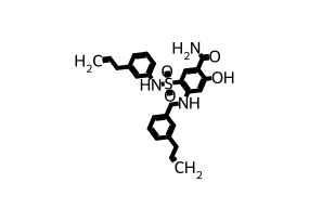 C=CCc1cccc(CNc2cc(O)c(C(N)=O)cc2S(=O)(=O)Nc2cccc(CC=C)c2)c1